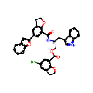 O=C(N[C@@H](COC(=O)c1cc(Br)cc2c1OCC2)Cc1c[nH]c2ccccc12)c1cc(-c2cc3ccccc3o2)cc2c1OCC2